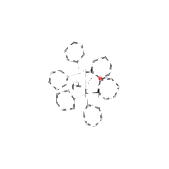 [O]=[Pd-4](=[O])([PH](c1ccccc1)(c1ccccc1)c1ccccc1)[PH](c1ccccc1)(c1ccccc1)c1ccccc1